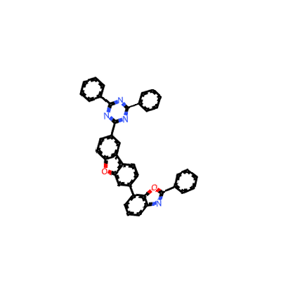 c1ccc(-c2nc(-c3ccccc3)nc(-c3ccc4oc5cc(-c6cccc7nc(-c8ccccc8)oc67)ccc5c4c3)n2)cc1